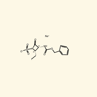 O=C(N[C@H]1C(=O)N(S(=O)(=O)[O-])[C@H]1CI)OCc1ccccc1.[Na+]